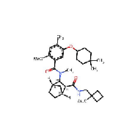 COc1cc(C)c(OC2CCC(C)(C)CC2)cc1C(=O)N(C)[C@@H]1[C@H]2CC[C@H](C2)[C@@H]1C(=O)NCC1(OC)CCC1